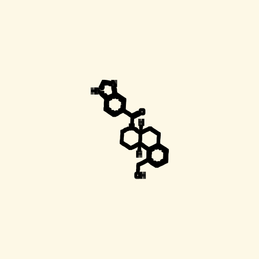 O=C(c1ccc2[nH]cnc2c1)N1CCC[C@H]2c3c(CO)cccc3CC[C@H]21